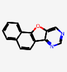 c1ccc2c(c1)ccc1c3ncncc3oc21